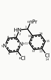 CCCC(Nc1cncc(Cl)n1)c1ccc(Cl)cc1